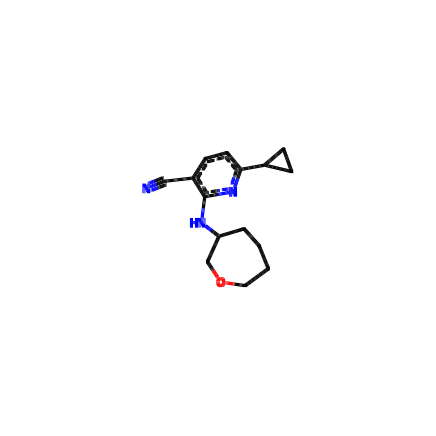 N#Cc1ccc(C2CC2)nc1NC1CCCCOC1